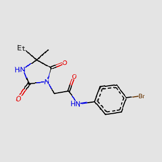 CCC1(C)NC(=O)N(CC(=O)Nc2ccc(Br)cc2)C1=O